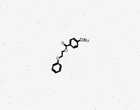 CC(C)COc1ccc(C(=O)OCCOc2ccccc2)cc1